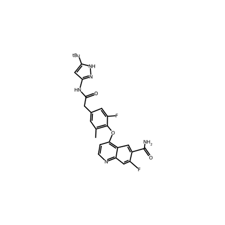 Cc1cc(CC(=O)Nc2cc(C(C)(C)C)[nH]n2)cc(F)c1Oc1ccnc2cc(F)c(C(N)=O)cc12